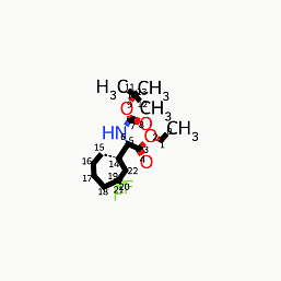 CCOC(=O)[C@@H](NC(=O)OC(C)(C)C)[C@H]1CCCCC(F)(F)C1